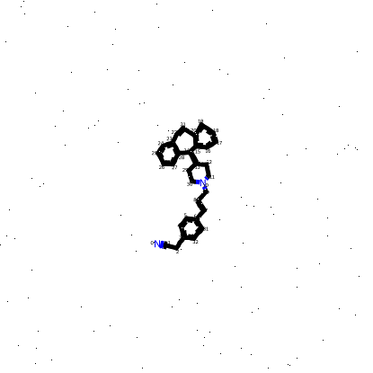 N#CCc1ccc(/C=C/CN2CCC(=C3c4ccccc4C=Cc4ccccc43)CC2)cc1